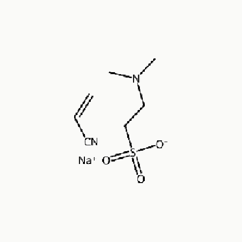 C=CC#N.CN(C)CCS(=O)(=O)[O-].[Na+]